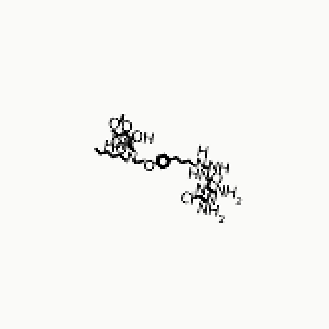 CCCCCCN(CCOc1ccc(CCCCNC(=N)NC(=O)c2nc(Cl)c(N)nc2N)cc1)C[C@H](O)[C@@H](O)[C@@H]1OC(C)OC[C@H]1O